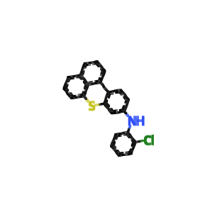 Clc1ccccc1Nc1ccc2c(c1)Sc1cccc3cccc-2c13